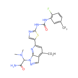 CN(C)C(C(N)=O)n1ncc2c(C(=O)O)cc(-c3cnc(NC(=O)Nc4cc(C(F)(F)F)ccc4F)s3)nc21